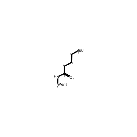 CCCCCNC(=O)CCCC(C)(C)C